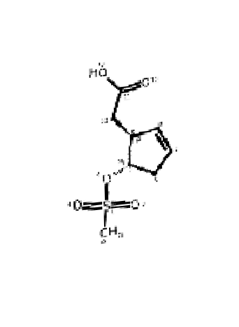 CS(=O)(=O)O[C@H]1CC=C[C@@H]1CC(=O)O